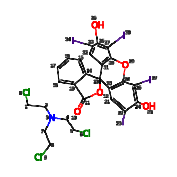 ClCCN(CCCl)CCCl.O=C1OC2(c3ccccc31)c1cc(I)c(O)c(I)c1Oc1c2cc(I)c(O)c1I